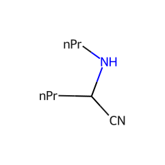 CCCNC(C#N)CCC